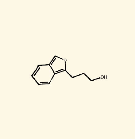 OCCCc1occ2ccccc12